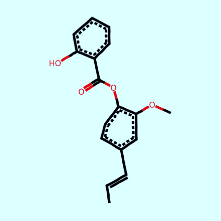 CC=Cc1ccc(OC(=O)c2ccccc2O)c(OC)c1